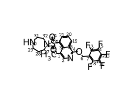 Cc1cnc(OCc2c(F)c(F)c(F)c(F)c2F)c2cccc(S(=O)(=O)N3CCCNCC3)c12